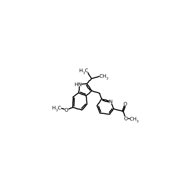 COC(=O)c1cccc(Cc2c(C(C)C)[nH]c3cc(OC)ccc23)n1